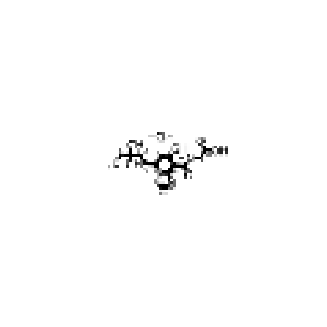 CCC(C)(C)CCc1cc(O)c(C(=O)NCC(=O)O)c2ncnn12.Cl